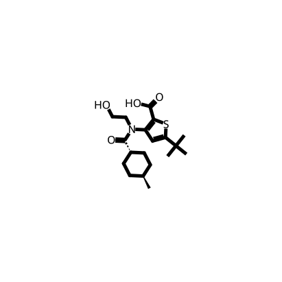 CC(C)(C)c1cc(N(CCO)C(=O)[C@H]2CC[C@H](C)CC2)c(C(=O)O)s1